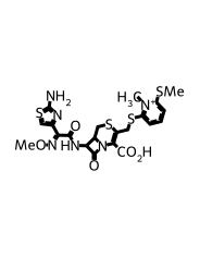 CON=C(C(=O)NC1C(=O)N2C(C(=O)O)=C(CSc3cccc(SC)[n+]3C)SCC12)c1csc(N)n1